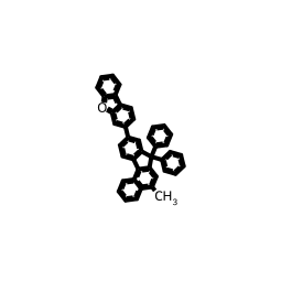 Cc1cc2c(c3ccccc13)-c1ccc(-c3ccc4c(c3)oc3ccccc34)cc1C2(c1ccccc1)c1ccccc1